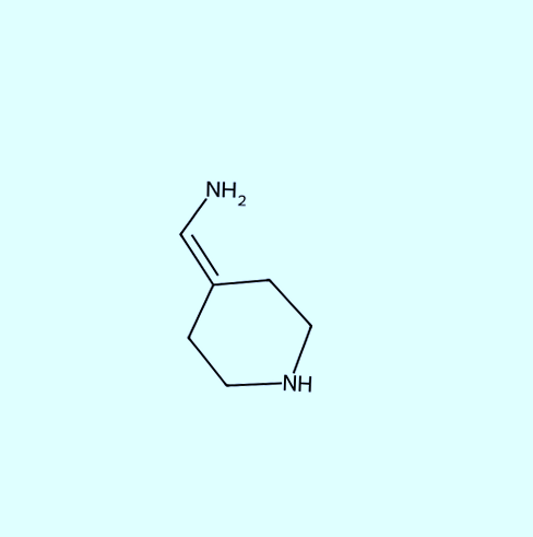 NC=C1CCNCC1